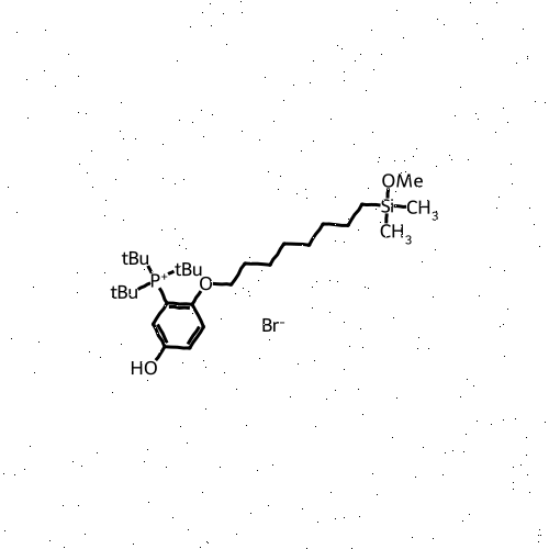 CO[Si](C)(C)CCCCCCCCOc1ccc(O)cc1[P+](C(C)(C)C)(C(C)(C)C)C(C)(C)C.[Br-]